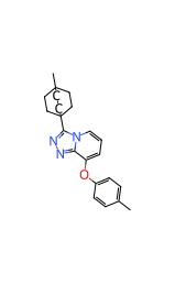 Cc1ccc(Oc2cccn3c(C45CCC(C)(CC4)CC5)nnc23)cc1